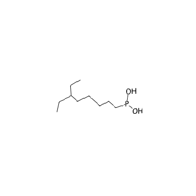 CCC(CC)CCCCCP(O)O